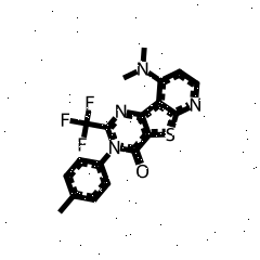 Cc1ccc(-n2c(C(F)(F)F)nc3c(sc4nccc(N(C)C)c43)c2=O)cc1